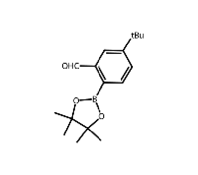 CC(C)(C)c1ccc(B2OC(C)(C)C(C)(C)O2)c(C=O)c1